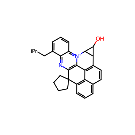 CC(C)Cc1cccc2c1nc1c3[n+]2C2C(O)C2c2ccc4cccc(c4c2-3)C12CCCC2